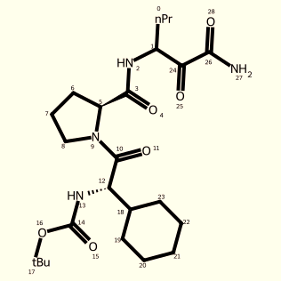 CCCC(NC(=O)[C@@H]1CCCN1C(=O)[C@@H](NC(=O)OC(C)(C)C)C1CCCCC1)C(=O)C(N)=O